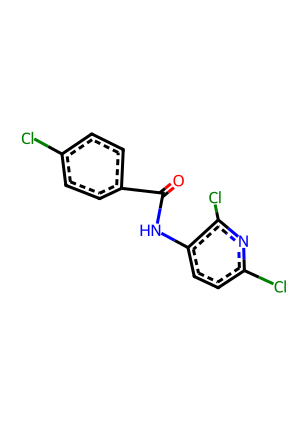 O=C(Nc1ccc(Cl)nc1Cl)c1ccc(Cl)cc1